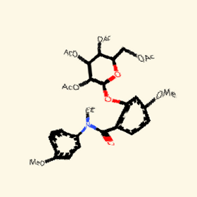 CCN(C(=O)c1ccc(OC)cc1OC1OC(COC(C)=O)C(OC(C)=O)C(OC(C)=O)C1OC(C)=O)c1ccc(OC)cc1